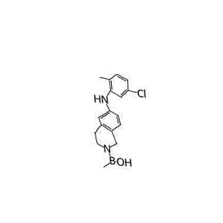 CB(O)N1CCc2cc(Nc3cc(Cl)ccc3C)ccc2C1